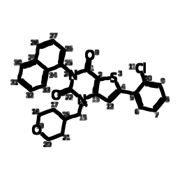 O=c1c2sc(-c3ccccc3Cl)cc2n(CC2CCOCC2)c(=O)n1-c1cccc2ccccc12